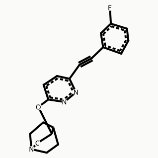 Fc1cccc(C#Cc2ccc(OC3CN4CCC3CC4)nn2)c1